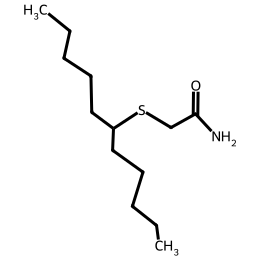 CCCCCC(CCCCC)SCC(N)=O